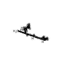 CCCCCCCCCC(CNC(=O)CCOCCNC(=O)COCCOCCOCCNc1ccc([N+](=O)[O-])cc1[N+](=O)[O-])OC[C@H]1OC[C@H](Nc2cc(Cl)nc(C(F)(F)F)n2)[C@@H](O)[C@H]1O